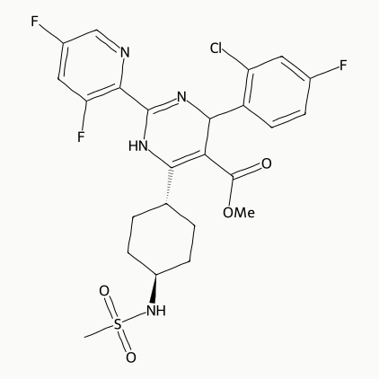 COC(=O)C1=C([C@H]2CC[C@H](NS(C)(=O)=O)CC2)NC(c2ncc(F)cc2F)=NC1c1ccc(F)cc1Cl